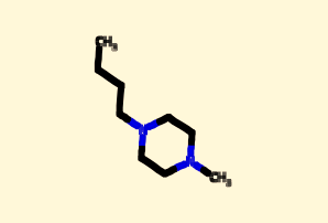 CCCCN1CCN(C)CC1